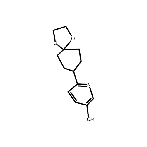 Oc1ccc(C2CCC3(CC2)OCCO3)nc1